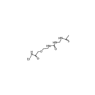 CCNC(=O)COCCNC(=O)NCNC(C)=S